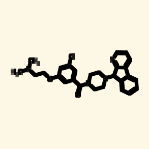 CN(C)CCOc1cc(Cl)cc(C(=O)N2CCN(C3c4ccccc4-c4cccnc43)CC2)c1